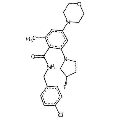 Cc1cc(N2CCOCC2)cc(N2CC[C@@H](F)C2)c1C(=O)NCc1ccc(Cl)cc1